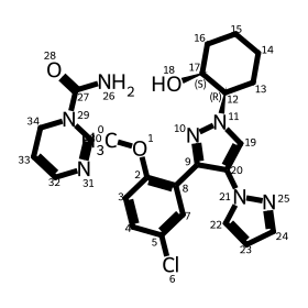 COc1ccc(Cl)cc1-c1nn([C@@H]2CCCC[C@@H]2O)cc1-n1cccn1.NC(=O)N1C=NC=CC1